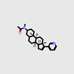 CC(=O)N(C)C1CC[C@@]2(C)C(CC[C@@H]3[C@@H]2CC[C@]2(C)C(c4cccnc4)=CC[C@@H]32)C1